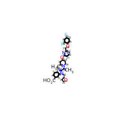 CC(c1nc2ccc(C(=O)O)cc2n1C[C@@H]1CCO1)N1CC[C@H](Oc2ccnc(COc3ccc(F)cc3F)n2)C[C@@H]1C